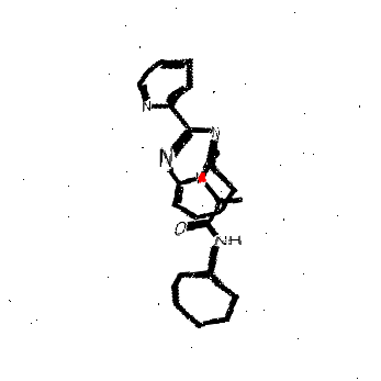 C\C1=N/C(c2ccccn2)=N\C(N(C)C(C)C(=O)NC2CCCCC2)=C\CCC1